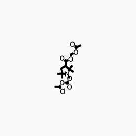 CC(=O)OCOC(=O)C1CC(C)(C)N(OC(=O)OC(C)Cl)C1(C)C